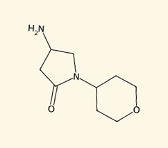 NC1CC(=O)N(C2CCOCC2)C1